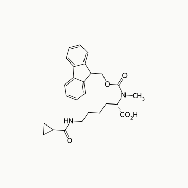 CN(C(=O)OCC1c2ccccc2-c2ccccc21)[C@@H](CCCCNC(=O)C1CC1)C(=O)O